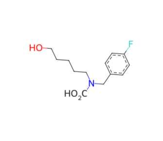 O=C(O)N(CCCCCO)Cc1ccc(F)cc1